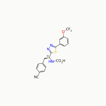 N#Cc1ccc(C[C@H](NC(=O)O)c2nnc(-c3cccc(OC(F)(F)F)c3)s2)cc1